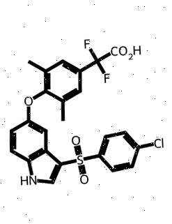 Cc1cc(C(F)(F)C(=O)O)cc(C)c1Oc1ccc2[nH]cc(S(=O)(=O)c3ccc(Cl)cc3)c2c1